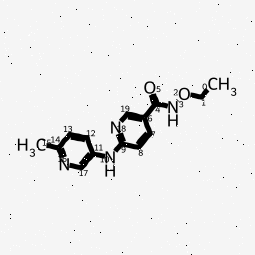 CCONC(=O)c1ccc(Nc2ccc(C)nc2)nc1